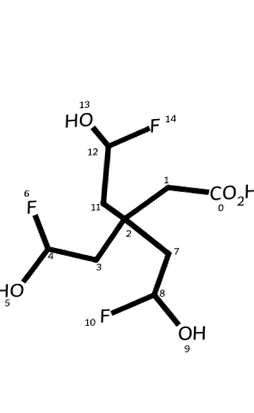 O=C(O)CC(CC(O)F)(CC(O)F)CC(O)F